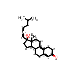 CC(C)CC=C=CC1(O)CCC2C3CCC4=CC(=O)CCC4=C3CCC21C